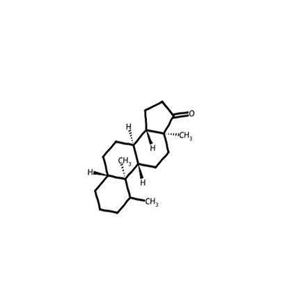 CC1CCC[C@@H]2CC[C@@H]3[C@H](CC[C@]4(C)C(=O)CC[C@@H]34)[C@@]12C